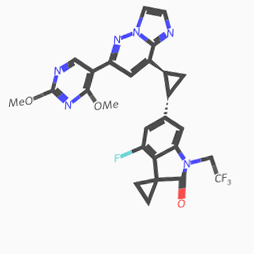 COc1ncc(-c2cc([C@H]3C[C@@H]3c3cc(F)c4c(c3)N(CC(F)(F)F)C(=O)C43CC3)c3nccn3n2)c(OC)n1